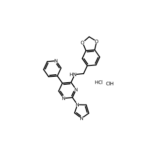 Cl.Cl.c1cncc(-c2cnc(-n3ccnc3)nc2NCc2ccc3c(c2)OCO3)c1